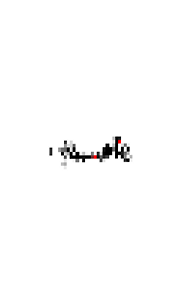 CCN(C(=O)COC)c1scnc1-c1ccc(OCCCCCOc2ccc(C(=N)NO)cc2)cc1